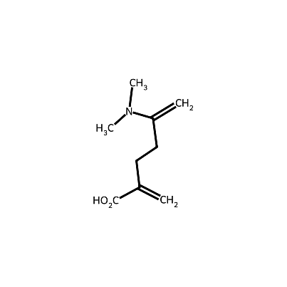 C=C(CCC(=C)N(C)C)C(=O)O